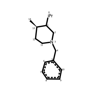 CC(C)C1CN(Cc2ccccc2)CC[C@H]1C